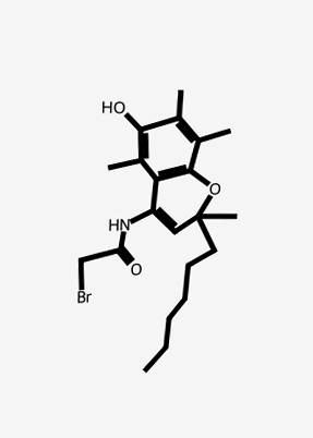 CCCCCCC1(C)C=C(NC(=O)CBr)c2c(C)c(O)c(C)c(C)c2O1